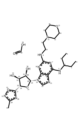 CCC(CC)Nc1nc(NCCN2CCOCC2)nc2c1ncn2[C@@H]1O[C@H](c2nc(C)no2)[C@@H](O)[C@H]1O.O=CO